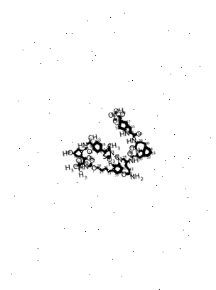 Cc1ncsc1-c1ccc([C@H](C)NC(=O)[C@@H]2C[C@@H](O)CC2C(=O)[C@@H](NC(=O)OCCCCc2cccc(N(C)CC(CCC(N)=O)NC(=O)[C@@H]3Cc4cccc5c4N3C(=O)[C@@H](NC(=O)c3cc4cc(C(=O)P(=O)(O)O)ccc4[nH]3)CC5)c2F)C(C)(C)C)cc1